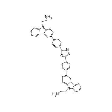 NCCn1c2ccccc2c2cc(-c3ccc(-c4nnc(-c5ccc(-c6ccc7c(c6)c6ccccc6n7CCN)cc5)o4)cc3)ccc21